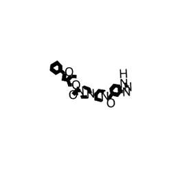 Cc1oc(-c2ccccc2)cc1COC(=O)N1CCN(C2CCN(C(=O)c3ccc4[nH]nnc4c3)CC2)CC1